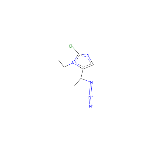 CCn1c(C(C)N=[N+]=[N-])cnc1Cl